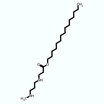 CCCCCCCCCCCCCCCOC(=O)CCNCCCNC